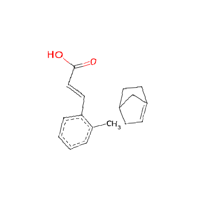 C1=C2CCC(C1)C2.Cc1ccccc1/C=C/C(=O)O